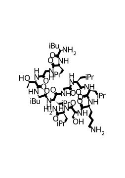 CC[C@H](C)[C@H](N)C(=O)N[C@@H](CC(C)C)C(=O)NCC(=O)N[C@H](C(=O)N[C@H](C(=O)N[C@@H](CC(C)C)C(=O)NCC(=O)N[C@@H](CC(C)C)C(=O)N[C@@H](CC(C)C)C(=O)N[C@@H](CCCCN)C(=O)N[C@@H](CO)C(=O)N[C@@H](CC(C)C)C(N)=O)[C@@H](C)CC)[C@@H](C)O